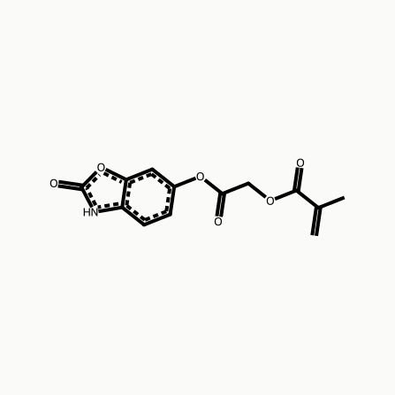 C=C(C)C(=O)OCC(=O)Oc1ccc2[nH]c(=O)oc2c1